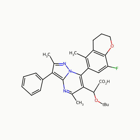 Cc1nc2c(-c3ccccc3)c(C)nn2c(-c2cc(F)c3c(c2C)CCCO3)c1C(OC(C)(C)C)C(=O)O